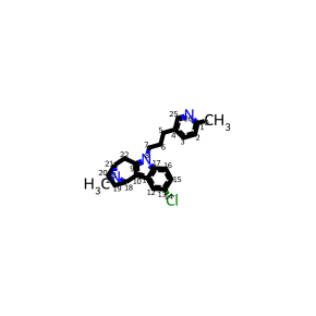 Cc1ccc(CCCn2c3c(c4cc(Cl)ccc42)C2CCC(C3)N2C)cn1